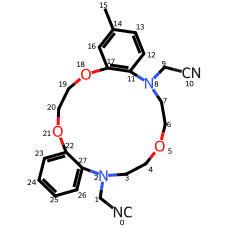 [C-]#[N+]CN1CCOCCN(CC#N)c2ccc(C)cc2OCCOc2ccccc21